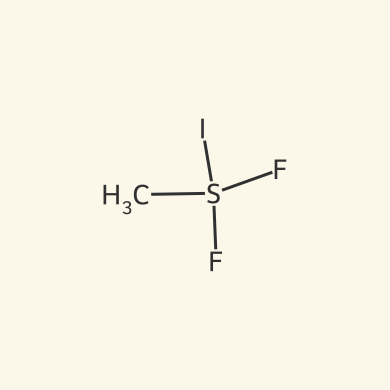 CS(F)(F)I